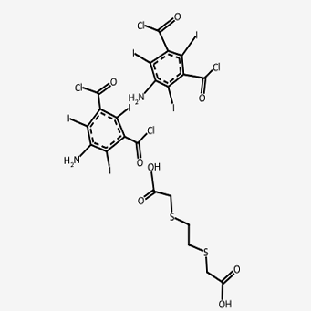 Nc1c(I)c(C(=O)Cl)c(I)c(C(=O)Cl)c1I.Nc1c(I)c(C(=O)Cl)c(I)c(C(=O)Cl)c1I.O=C(O)CSCCSCC(=O)O